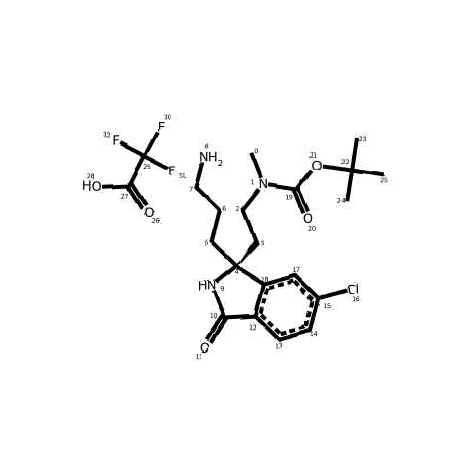 CN(CC[C@]1(CCCN)NC(=O)c2ccc(Cl)cc21)C(=O)OC(C)(C)C.O=C(O)C(F)(F)F